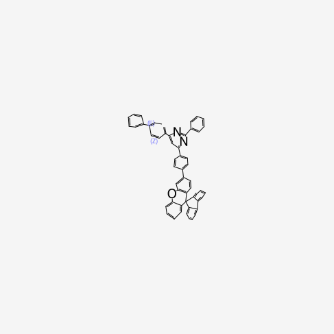 C=C(/C=C\C(=C/C)c1ccccc1)c1cc(-c2ccc(-c3ccc4c(c3)Oc3ccccc3C43c4ccccc4-c4ccccc43)cc2)nc(-c2ccccc2)n1